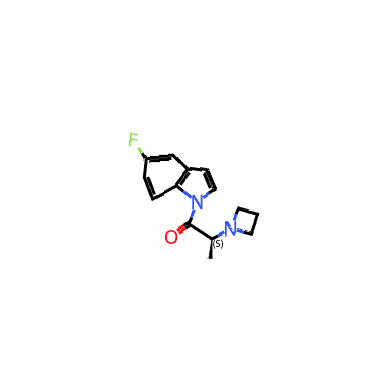 C[C@@H](C(=O)n1ccc2cc(F)ccc21)N1CCC1